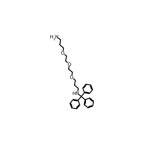 NCCCOCCOCCOCCCNC(c1ccccc1)(c1ccccc1)c1ccccc1